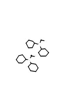 S=C([S-])N(C1CCCCC1)C1CCCCC1.S=C([S-])N(C1CCCCC1)C1CCCCC1.[Co+2]